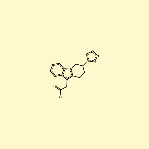 O=C(O)Cc1c2n(c3ccccc13)CC(n1ccnn1)CC2